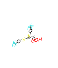 CC(C)(CC[C@H](CCSCc1ccc(C(F)(F)F)cc1)SCc1ccc(C(F)(F)F)cc1)CC(=O)O